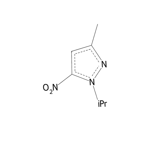 Cc1cc([N+](=O)[O-])n(C(C)C)n1